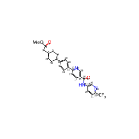 COC(=O)CC1CCC(c2ccc(-c3ccc(C(=O)Nc4ccc(C(F)(F)F)nc4)cn3)cc2)CC1